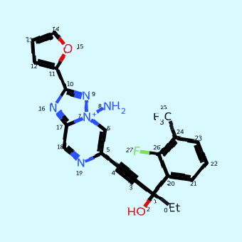 CCC(O)(C#CC1=C[N+]2(N)N=C(c3ccco3)N=C2C=N1)c1cccc(C(F)(F)F)c1F